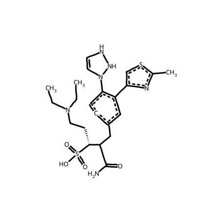 CCN(CC)CC[C@H](C(Cc1ccc(N2C=CNN2)c(-c2csc(C)n2)c1)C(N)=O)S(=O)(=O)O